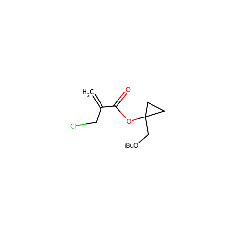 C=C(CCl)C(=O)OC1(COCC(C)C)CC1